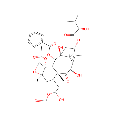 CC(=O)O[C@@]12CO[C@@H]1CC(CC(O)OC=O)[C@@]1(C)C(=O)[C@H](O)C3=C(C)[C@@H](OC(=O)[C@H](O)C(C)C)C[C@@](O)([C@@H](OC(=O)c4ccccc4)C12)C3(C)C